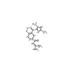 Cc1nc(C)c(C2=CCCc3ccc(C(=O)N=C(N)N)cc32)s1